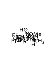 COc1c(Nc2cc(C)[nH]n2)nc(Sc2ccc(S(=O)(=O)C(C)(C)c3c(F)c(F)cc(F)c3F)cc2F)nc1N1CCC(O)CC1